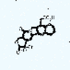 CC[C@@]1(O)C(=O)OCc2c1cc1n(c2=O)Cc2c-1nc1ccccc1c2CC(=O)O